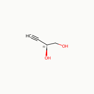 C#C[C@H](O)CO